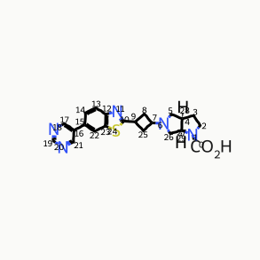 O=C(O)N1CC[C@@H]2CN(C3CC(c4nc5ccc(-c6cncnc6)cc5s4)C3)C[C@@H]21